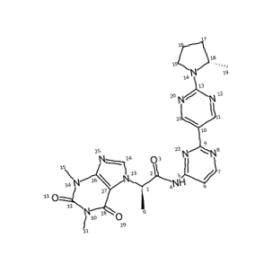 C[C@H](C(=O)Nc1ccnc(-c2cnc(N3CCC[C@@H]3C)nc2)n1)n1cnc2c1c(=O)n(C)c(=O)n2C